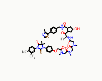 Cc1ncsc1-c1ccc(CNC(=O)C2C[C@@H](O)CC2C(=O)C(NC(=O)CN(C)C(=O)CN(C)C(=O)CN(C)C(=O)COc2ccc(N3C(=S)N(c4ccc(C#N)c(C(F)(F)F)c4)C(=O)C3(C)C)cc2)C(C)C)cc1